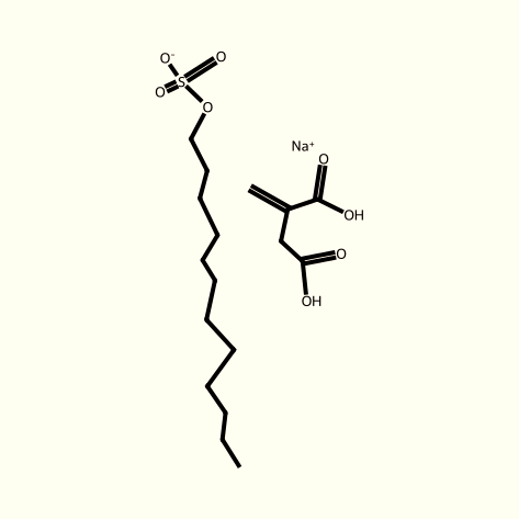 C=C(CC(=O)O)C(=O)O.CCCCCCCCCCCCOS(=O)(=O)[O-].[Na+]